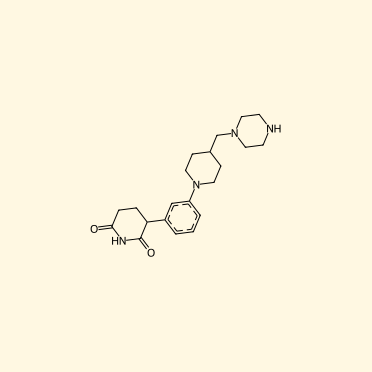 O=C1CCC(c2cccc(N3CCC(CN4CCNCC4)CC3)c2)C(=O)N1